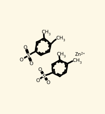 Cc1ccc(S(=O)(=O)[O-])cc1C.Cc1ccc(S(=O)(=O)[O-])cc1C.[Zn+2]